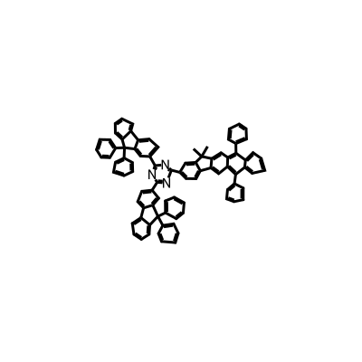 CC1(C)c2cc(-c3nc(-c4ccc5c(c4)C(c4ccccc4)(c4ccccc4)c4ccccc4-5)nc(-c4ccc5c(c4)C(c4ccccc4)(c4ccccc4)c4ccccc4-5)n3)ccc2-c2cc3c(-c4ccccc4)c4ccccc4c(-c4ccccc4)c3cc21